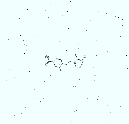 CC1CC(C(=O)O)CCN1CCc1cccc(Cl)c1F